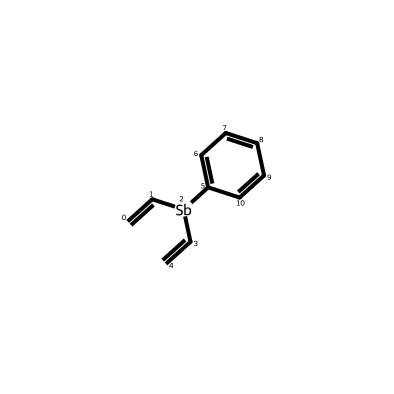 C=[CH][Sb]([CH]=C)[c]1ccccc1